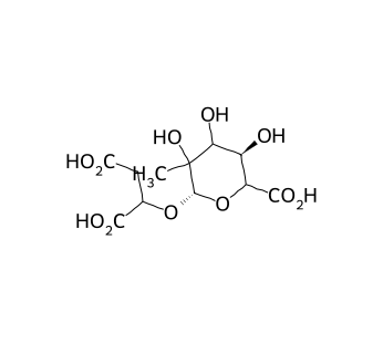 CC1(O)C(O)[C@@H](O)C(C(=O)O)O[C@@H]1OC(CC(=O)O)C(=O)O